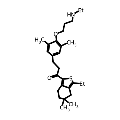 CCNCCCOc1c(C)cc(CCC(=O)c2sc(CC)c3c2CCC(C)(C)C3)cc1C